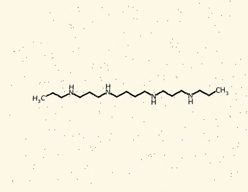 CCCNCCCNCCCCNCCCNCCC